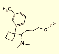 CCCOCCCC(N(C)C)C1(c2cccc(C(F)(F)F)c2)CCC1